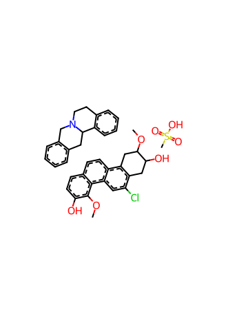 COc1c(O)ccc2ccc3c4c(c(Cl)cc3c12)CC(O)C(OC)C4.CS(=O)(=O)O.c1ccc2c(c1)CC1c3ccccc3CCN1C2